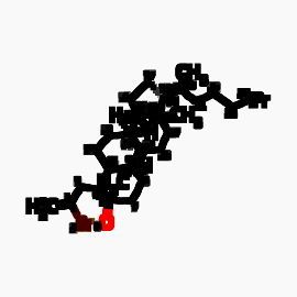 C=C(Br)C[C@@H]1C(=O)CC[C@@]2(C)C1CC[C@H]1[C@@H]3CC[C@H]([C@H](C)CCCC(C)C)[C@@]3(C)CC[C@@H]12